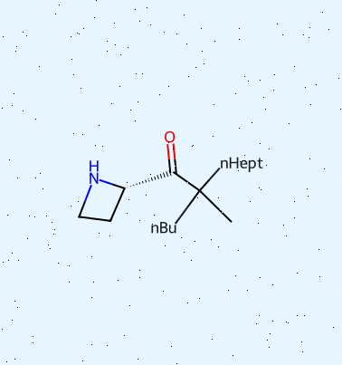 CCCCCCCC(C)(CCCC)C(=O)[C@@H]1CCN1